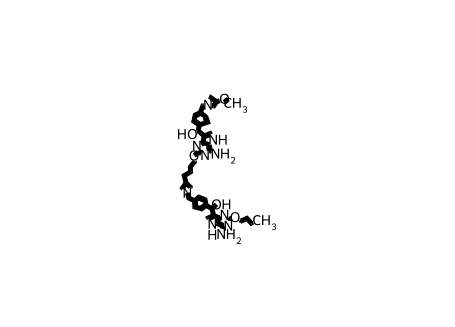 CCCCOc1nc(N)c2[nH]cc(C(O)c3ccc(CN4CC(CCCCOc5nc(N)c6[nH]cc(C(O)c7ccc(CN8CC(OC)C8)cc7)c6n5)C4)cc3)c2n1